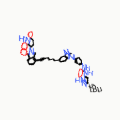 CC(C)(C)c1cc(NC(=O)Nc2ccc(-n3cnc4cc(CCCCC#Cc5cccc6c5CN(C5CCC(=O)NC5=O)C6=O)ccc43)cc2)[nH]n1